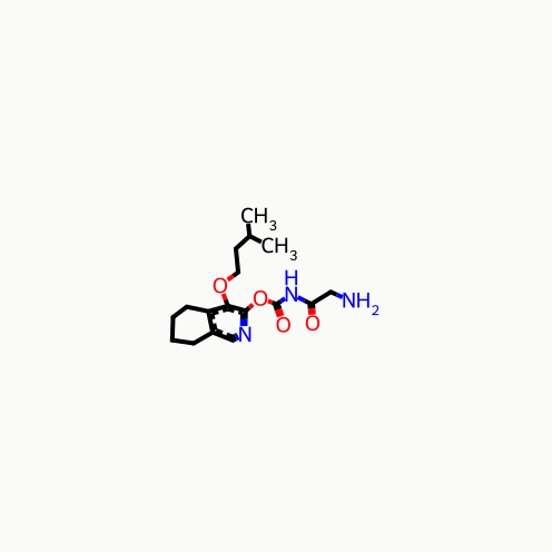 CC(C)CCOc1c(OC(=O)NC(=O)CN)ncc2c1CCCC2